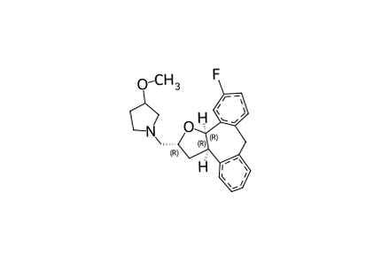 COC1CCN(C[C@H]2C[C@@H]3c4ccccc4Cc4ccc(F)cc4[C@@H]3O2)C1